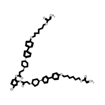 C=CC(=O)OCCCCCCOc1ccc(-c2ccc([C@H]3CC[C@H](CCC(=O)Oc4ccc(CC)cc4OC(=O)CC[C@H]4CC[C@H](c5ccc(-c6ccc(OCCCCCCOC(=O)C=C)cc6)cc5)CC4)CC3)cc2)cc1